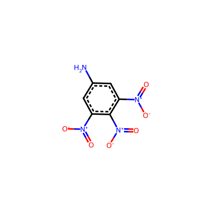 Nc1cc([N+](=O)[O-])c([N+](=O)[O-])c([N+](=O)[O-])c1